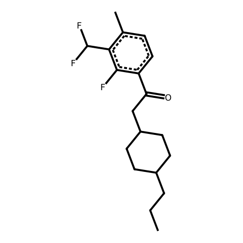 CCCC1CCC(CC(=O)c2ccc(C)c(C(F)F)c2F)CC1